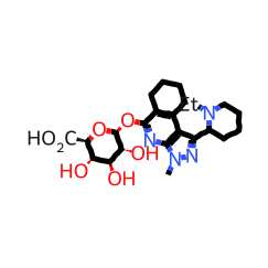 CCN1CCCCC1c1nn(C)c2nc(O[C@@H]3O[C@H](C(=O)O)[C@@H](O)[C@H](O)[C@H]3O)c3c(c12)CCCC3